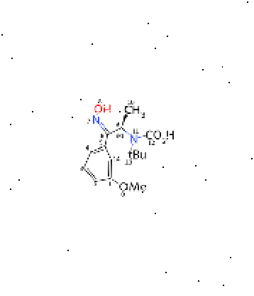 COc1cccc(C(=NO)[C@@H](C)N(C(=O)O)C(C)(C)C)c1